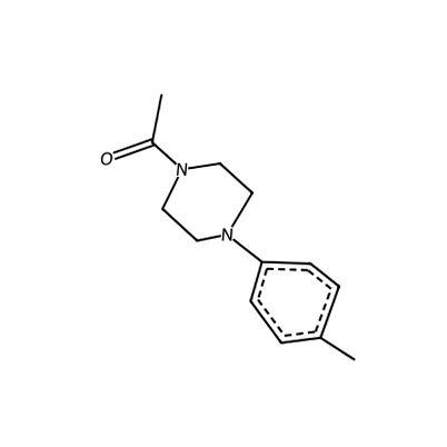 CC(=O)N1CCN(c2ccc(C)cc2)CC1